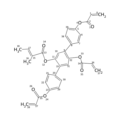 C=CC(=O)Oc1ccc(-c2cc(OC(=O)/C(C)=C/C)c(-c3ccc(OC(=O)C=C)cc3)cc2OC(=O)C=C)cc1